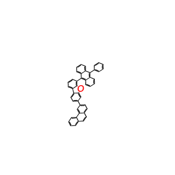 c1ccc(-c2c3ccccc3c(-c3cccc4c3oc3cc(-c5ccc6ccc7ccccc7c6c5)ccc34)c3ccccc23)cc1